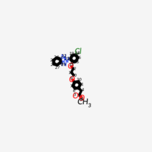 COC(=O)Cc1ccc(OCCCOc2ccc(Cl)cc2-n2nc3ccccc3n2)cc1